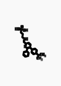 CC(C)c1ccc(-c2ccc(CNCCCP(=O)(O)O)nc2-c2ccccc2)cc1